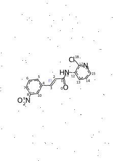 O=C(/C=C/c1cccc([N+](=O)[O-])c1)Nc1cccnc1Cl